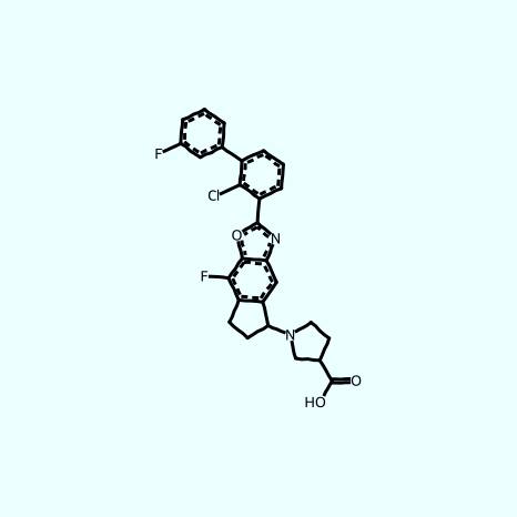 O=C(O)C1CCN(C2CCc3c2cc2nc(-c4cccc(-c5cccc(F)c5)c4Cl)oc2c3F)C1